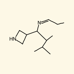 CC/C=N\C(C1CNC1)C(C)C(C)C